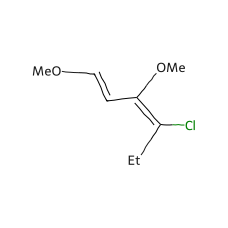 CC/C(Cl)=C(\C=C\OC)OC